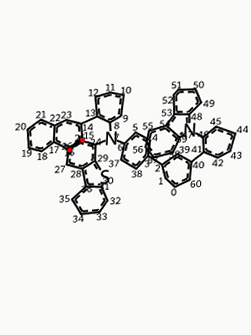 c1cc(-c2ccc(N(c3ccccc3-c3ccc4ccccc4c3)c3cccc4c3sc3ccccc34)cc2)cc(-c2ccccc2-n2c3ccccc3c3ccccc32)c1